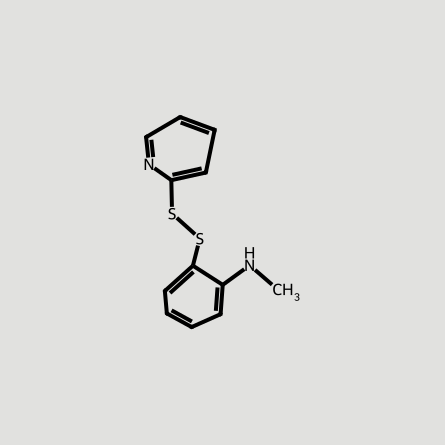 CNc1ccccc1SSc1ccccn1